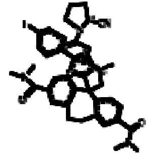 C[C@@H](CC1(c2nnc(-c3ccc(F)cc3)o2)c2ccc(C(=O)N(C)C)cc2CCc2cc(C(=O)N(C)C)ccc21)NCC(=O)N1CCC[C@H]1C#N